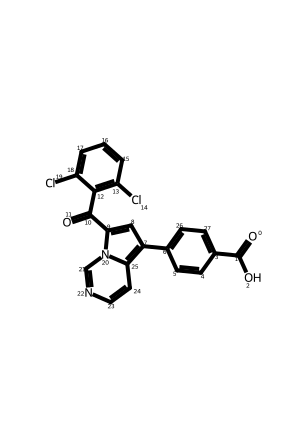 O=C(O)c1ccc(-c2cc(C(=O)c3c(Cl)cccc3Cl)n3cnccc23)cc1